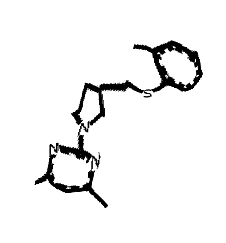 Cc1cc(C)nc(N2CCC(CSc3ccccc3C)C2)n1